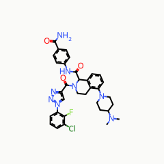 CN(C)C1CCN(c2cccc3c2CCN(C(=O)c2cn(-c4cccc(Cl)c4F)nn2)C3C(=O)Nc2ccc(C(N)=O)cc2)CC1